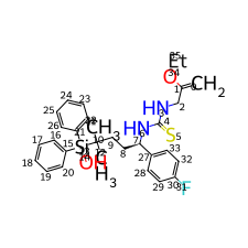 C=C(CNC(=S)N[C@H](CCC(C)(C)[Si](O)(c1ccccc1)c1ccccc1)c1ccc(F)cc1)OCC